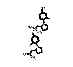 CN(C)CC1CCCN1c1ccc(N[N+](C)(C)CC2CCCN2c2ccc([N+](=O)[O-])cc2F)cc1F